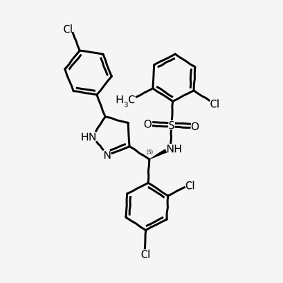 Cc1cccc(Cl)c1S(=O)(=O)N[C@H](C1=NNC(c2ccc(Cl)cc2)C1)c1ccc(Cl)cc1Cl